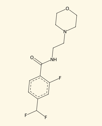 O=C(NCCN1CCOCC1)c1ccc(C(F)F)cc1F